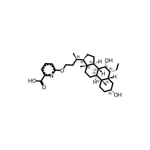 CC[C@H]1[C@@H](O)[C@@H]2[C@H](CC[C@]3(C)[C@@H]([C@H](C)CCOc4cccc(C(=O)O)n4)CC[C@@H]23)[C@@]2(C)CC[C@@H](O)C[C@@H]12